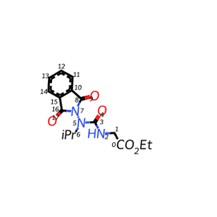 CCOC(=O)CNC(=O)N(C(C)C)N1C(=O)c2ccccc2C1=O